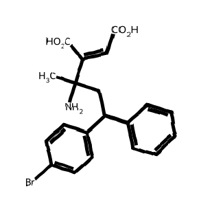 CC(N)(CC(c1ccccc1)c1ccc(Br)cc1)/C(=C/C(=O)O)C(=O)O